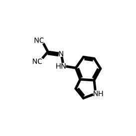 N#CC(C#N)=NNc1cccc2[nH]ccc12